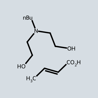 C/C=C/C(=O)O.CCCCN(CCO)CCO